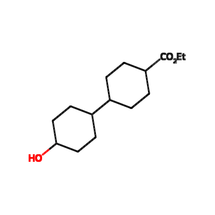 CCOC(=O)C1CCC(C2CCC(O)CC2)CC1